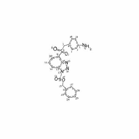 Nc1ccc(CS(=O)(=O)c2cccc3c2nnn3C(=O)OCc2ccccc2)cc1